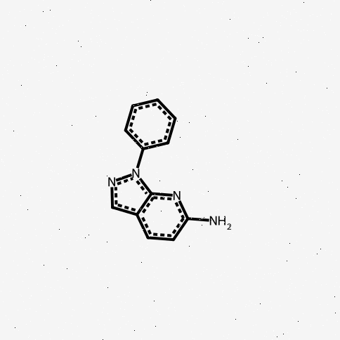 Nc1ccc2cnn(-c3ccccc3)c2n1